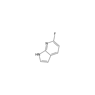 Fc1ccc2cc[nH]c2n1